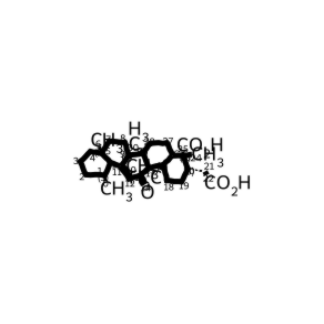 C[C@H]1CCC[C@]2(C)CC[C@]3(C)C(=CC(=O)C4[C@@]5(C)CC[C@@H](CC(=O)O)[C@](C)(C(=O)O)C5CC[C@]43C)C12